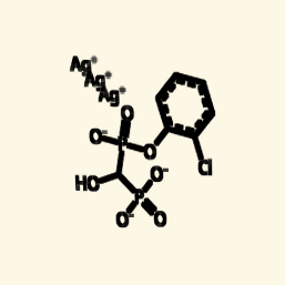 O=P([O-])([O-])C(O)P(=O)([O-])Oc1ccccc1Cl.[Ag+].[Ag+].[Ag+]